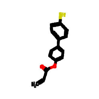 C=CC(=O)Oc1ccc(-c2ccc(S)cc2)cc1